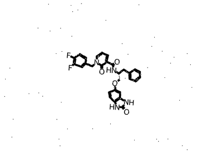 O=C(N[C@@H](COc1ccc2[nH]c(=O)[nH]c2c1)Cc1ccccc1)c1cccn(Cc2ccc(F)c(F)c2)c1=O